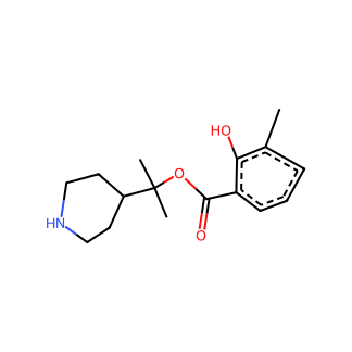 Cc1cccc(C(=O)OC(C)(C)C2CCNCC2)c1O